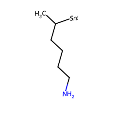 C[CH]([Sn])CCCCN